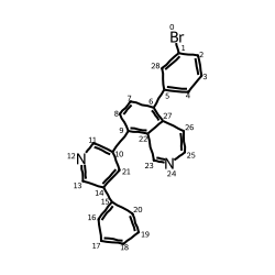 Brc1cccc(-c2ccc(-c3cncc(-c4ccccc4)c3)c3cnccc23)c1